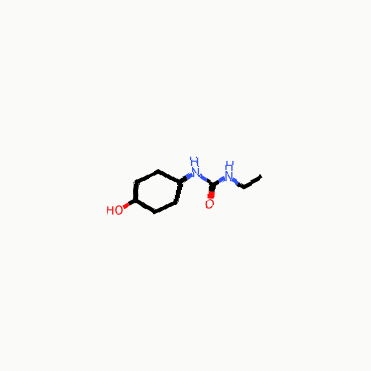 CCNC(=O)NC1CCC(O)CC1